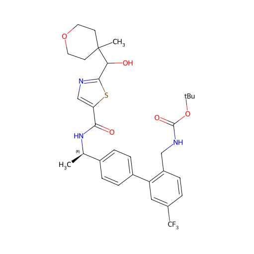 C[C@@H](NC(=O)c1cnc(C(O)C2(C)CCOCC2)s1)c1ccc(-c2cc(C(F)(F)F)ccc2CNC(=O)OC(C)(C)C)cc1